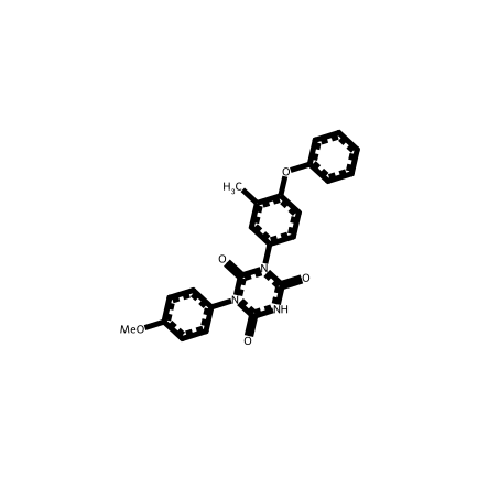 COc1ccc(-n2c(=O)[nH]c(=O)n(-c3ccc(Oc4ccccc4)c(C)c3)c2=O)cc1